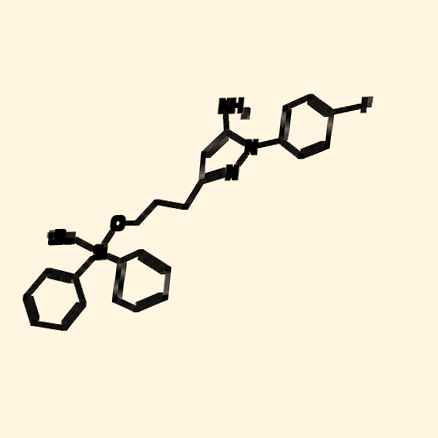 CC(C)(C)[Si](OCCCc1cc(N)n(-c2ccc(F)cc2)n1)(c1ccccc1)c1ccccc1